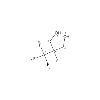 CC(CO)(CO)C(F)(F)F